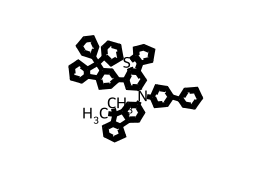 CC1(C)c2ccccc2-c2ccc(N(c3ccc(-c4ccccc4)cc3)c3cc(-c4ccc5c(c4)C(c4ccccc4)(c4ccccc4)c4ccccc4-5)c4sc5ccccc5c4c3)cc21